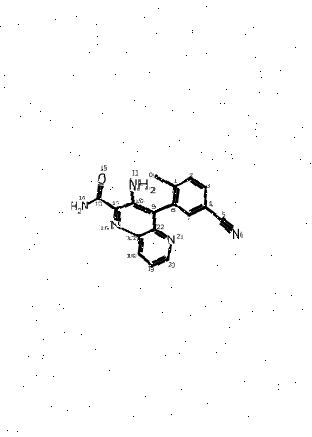 Cc1ccc(C#N)cc1-c1c(N)c(C(N)=O)nc2cccnc12